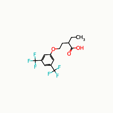 CCC(CCOc1cc(C(F)(F)F)cc(C(F)(F)F)c1)C(=O)O